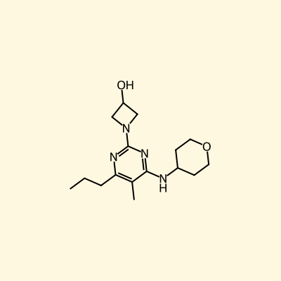 CCCc1nc(N2CC(O)C2)nc(NC2CCOCC2)c1C